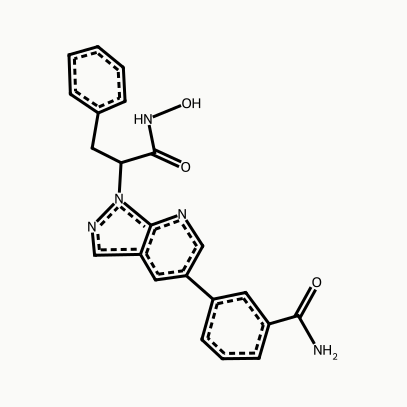 NC(=O)c1cccc(-c2cnc3c(cnn3C(Cc3ccccc3)C(=O)NO)c2)c1